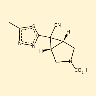 Cc1nnc(C2(C#N)[C@@H]3CN(C(=O)O)C[C@@H]32)s1